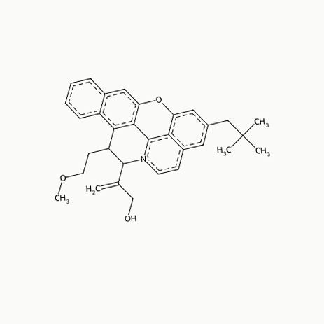 C=C(CO)C1C(CCOC)c2c3c(cc4ccccc24)Oc2cc(CC(C)(C)C)cc4cc[n+]1c-3c24